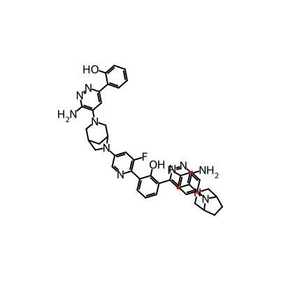 Nc1nnc(-c2ccccc2O)cc1N1CC2CC(C1)N(c1cnc(-c3cccc(-c4cc(N5CC6CCC(C5)N6c5ccc(F)cc5)c(N)nn4)c3O)c(F)c1)C2